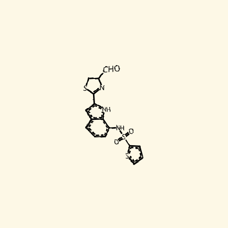 O=CC1CSC(c2cc3cccc(NS(=O)(=O)c4cccs4)c3[nH]2)=N1